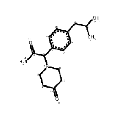 CC(C)Cc1ccc(C(C(N)=O)N2CCC(=O)CC2)cc1